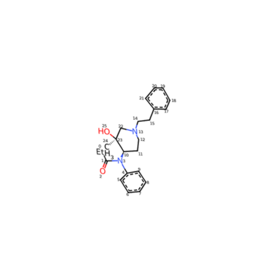 CCC(=O)N(c1ccccc1)[C@@H]1CCN(CCc2ccccc2)C[C@]1(C)O